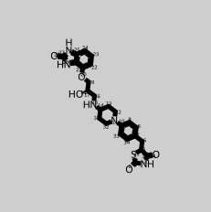 O=C1NC(=O)C(Cc2ccc(N3CCC(NC[C@H](O)COc4cccc5[nH]c(=O)[nH]c45)CC3)cc2)S1